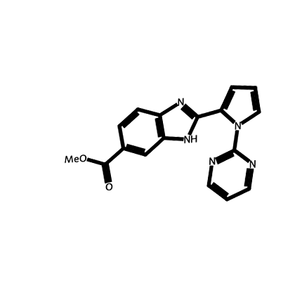 COC(=O)c1ccc2nc(-c3cccn3-c3ncccn3)[nH]c2c1